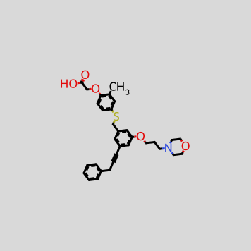 Cc1cc(SCc2cc(C#CCc3ccccc3)cc(OCCCN3CCOCC3)c2)ccc1OCC(=O)O